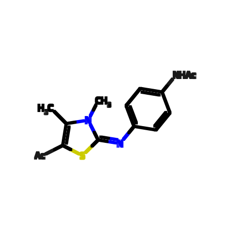 CC(=O)Nc1ccc(N=c2sc(C(C)=O)c(C)n2C)cc1